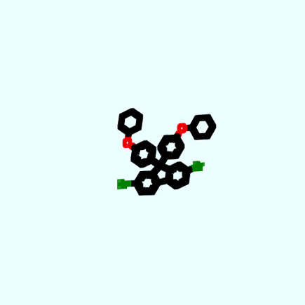 Brc1ccc2c(c1)C(c1ccc(OC3CCCCC3)cc1)(c1ccc(OC3CCCCC3)cc1)c1cc(Br)ccc1-2